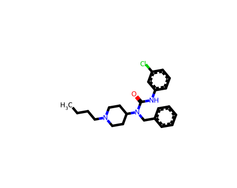 CCCCN1CCC(N(Cc2ccccc2)C(=O)Nc2cccc(Cl)c2)CC1